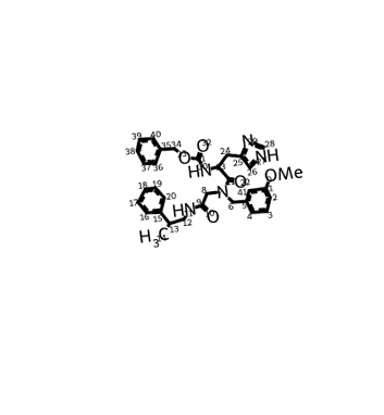 COc1cccc(CN(CC(=O)NCC(C)c2ccccc2)C(=O)C(Cc2c[nH]cn2)NC(=O)OCc2ccccc2)c1